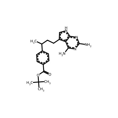 CC(CCc1c[nH]c2nc(N)nc(N)c12)c1ccc(C(=O)OC(C)(C)C)cc1